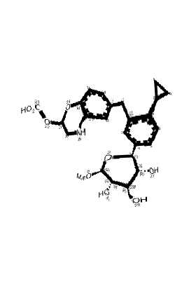 CO[C@H]1O[C@@H](c2ccc(C3CC3)c(Cc3ccc4c(c3)NCC(OC(=O)O)O4)c2)[C@H](O)[C@@H](O)[C@@H]1O